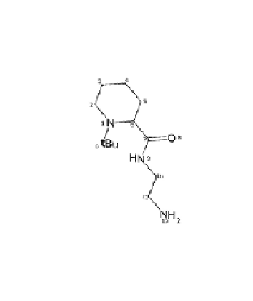 CC(C)(C)N1CCCCC1C(=O)NCCN